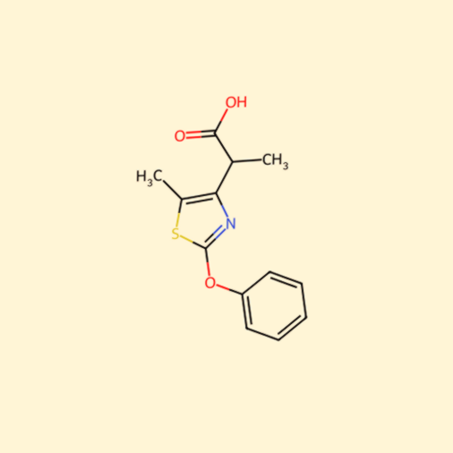 Cc1sc(Oc2ccccc2)nc1C(C)C(=O)O